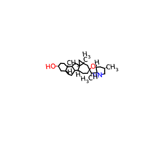 C[C@@H]1CN[C@H]2[C@@H](C)[C@@]3(CC[C@H]4C5CC=C6C[C@@H](O)CC[C@]6(C)[C@H]5CC45CC5(C)C3)O[C@@H]2C1